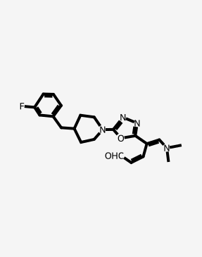 CN(C)/C=C(\C=C/C=O)c1nnc(N2CCC(Cc3cccc(F)c3)CC2)o1